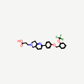 O=C(O)CCN1CCc2nc(-c3ccc(OCc4ccccc4OC(F)(F)F)cc3)ccc2C1